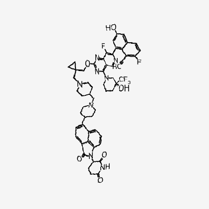 C#Cc1c(F)ccc2cc(O)cc(-c3ncc4c(N5CCC[C@](O)(C(F)(F)F)C5)nc(OCC5(CN6CCC(CN7CCC(c8ccc9c%10c(cccc8%10)N(C8CCC(=O)NC8=O)C9=O)CC7)CC6)CC5)nc4c3F)c12